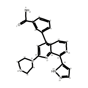 NC(=O)c1cccc(-c2cc(N3CCOCC3)nc3c(-c4ccn[nH]4)nccc23)c1